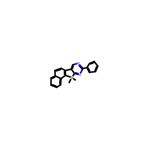 C[Si]1(C)c2nc(-c3ccccc3)ncc2-c2ccc3ccccc3c21